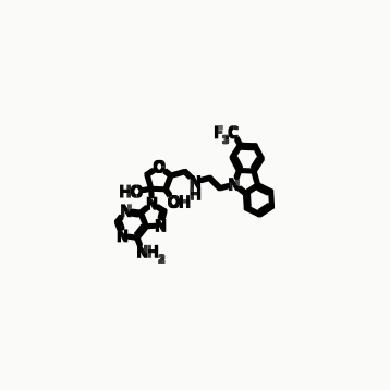 Nc1ncnc2c1ncn2C1(O)COC(CNCCn2c3ccccc3c3ccc(C(F)(F)F)cc32)C1O